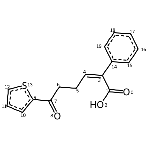 O=C(O)C(=CCCC(=O)c1cccs1)c1ccccc1